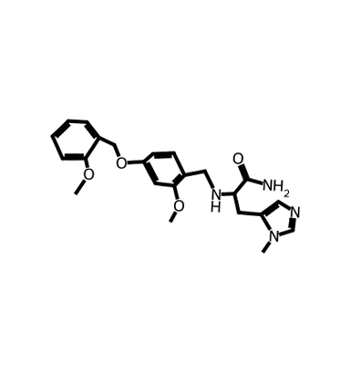 COc1cc(OCc2ccccc2OC)ccc1CNC(Cc1cncn1C)C(N)=O